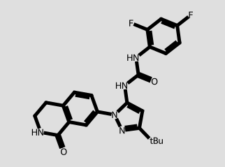 CC(C)(C)c1cc(NC(=O)Nc2ccc(F)cc2F)n(-c2ccc3c(c2)C(=O)NCC3)n1